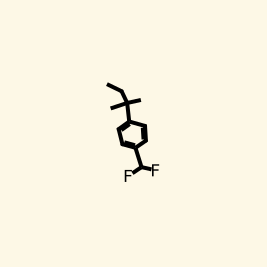 CCC(C)(C)c1ccc(C(F)F)cc1